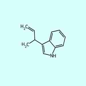 [CH2]C(C=C)c1c[nH]c2ccccc12